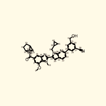 COc1cc(C(=O)N2CC3CCC2[C@@H]3C)cc2nc(-c3cc4ccc(-c5cc(C#N)cc(CO)c5)nc4n3CC3CC3)n(C)c12